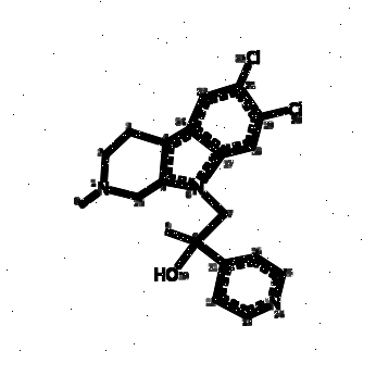 CN1CCc2c(n(CC(C)(O)c3ccncc3)c3cc(Cl)c(Cl)cc23)C1